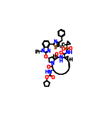 CC(C)n1c(O[C@@H]2C[C@H]3C(=O)N[C@]4(C(=O)NS(=O)(=O)C5(C)CC5)C[C@H]4/C=C\CCCCC[C@H](NC(=O)OC4CCCC4)C(=O)N3C2)nc2c(-c3nc(Cc4ccccc4)cs3)cccc21